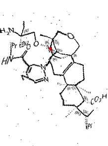 CC(C)NC(=O)c1ncnn1[C@@H]1C[C@@]23COC[C@](C)([C@@H]2CCC2=C3CC[C@@]3(C)[C@H](C(=O)O)[C@@](C)([C@H](C)C(C)C)CC[C@@]23C)[C@H]1OC[C@](C)(N)C(C)(C)C